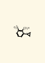 O=C(O)c1c(C2CC2)cccc1[N+](=O)[O-]